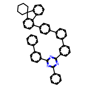 c1ccc(-c2cccc(-c3nc(-c4ccccc4)nc(-c4cccc(-c5cccc(-c6ccc(-c7cccc8c7-c7ccccc7C87CCCCC7)cc6)c5)c4)n3)c2)cc1